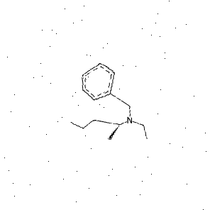 CCC[C@H](C)N(CC)Cc1ccccc1